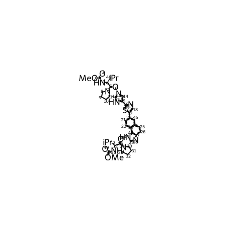 COC(=O)N[C@H](C(=O)N1CCC[C@H]1c1ncc(-c2ncc(-c3ccc4c(ccc5nc([C@@H]6CCCN6C(=O)[C@@H](NC(=O)OC)C(C)C)[nH]c54)c3)s2)[nH]1)C(C)C